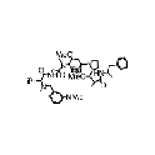 CCC(C)C(C(CC(=O)N1CCCC1C(OC)C(C)C(=O)NC(C)Cc1ccccc1)OC)N(C)C(=O)CNC(=O)C(C(C)C)N(C)Cc1cccc(NC)c1